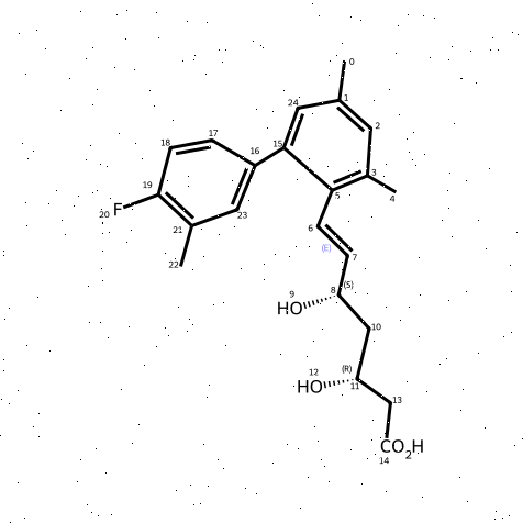 Cc1cc(C)c(/C=C/[C@@H](O)C[C@@H](O)CC(=O)O)c(-c2ccc(F)c(C)c2)c1